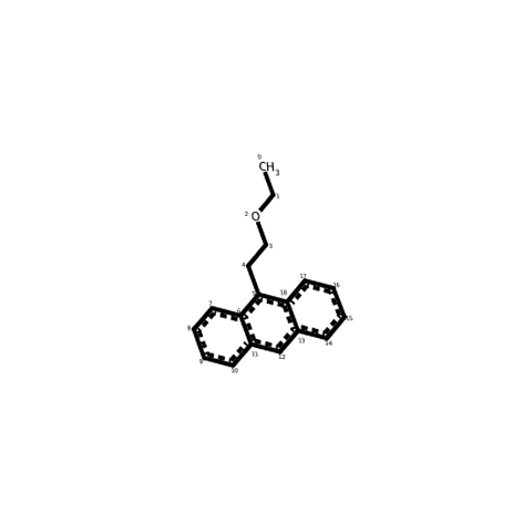 CCOCCc1c2ccccc2cc2ccccc12